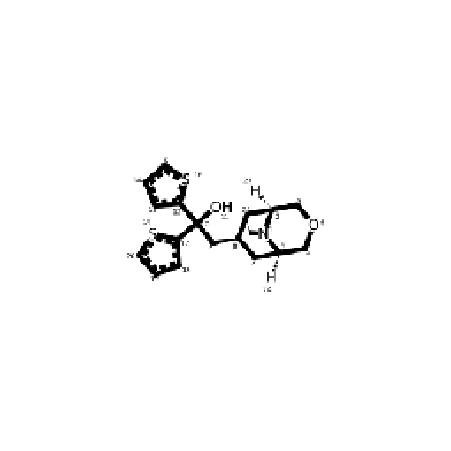 CN1[C@@H]2COC[C@H]1C[C@@H](CC(O)(c1cccs1)c1cccs1)C2